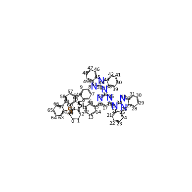 c1ccc([Si](c2ccccc2)(c2cccc(-c3cc(-n4c5ccccc5n5c6ccccc6nc45)nc(-n4c5ccccc5n5c6ccccc6nc45)n3)c2)c2cccc3c2sc2ccccc23)cc1